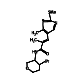 CSc1ncc(/C=C(\C)C(=O)NC2COCCC2C(C)C)c(C)n1